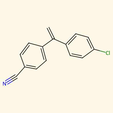 C=C(c1ccc(Cl)cc1)c1ccc(C#N)cc1